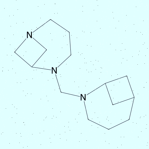 C1CC2CC(C2)N(CN2CCCN3CC2C3)C1